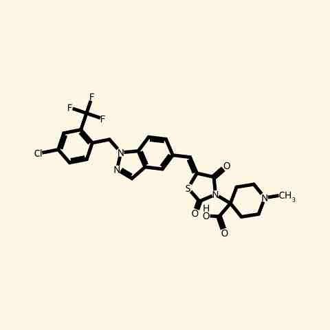 CN1CCC(C(=O)O)(N2C(=O)SC(=Cc3ccc4c(cnn4Cc4ccc(Cl)cc4C(F)(F)F)c3)C2=O)CC1